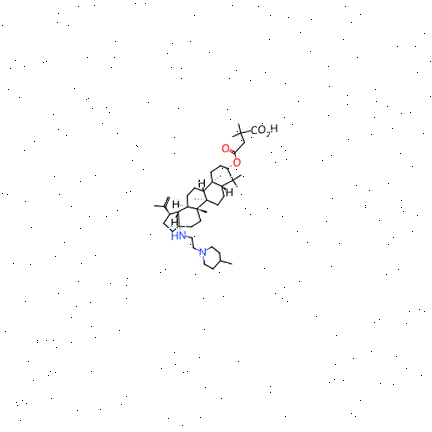 C=C(C)[C@@H]1CC[C@]2(NCCN3CCC(C)CC3)CC[C@]3(C)[C@H](CC[C@@H]4[C@@]5(C)CC[C@H](OC(=O)CC(C)(C)C(=O)O)C(C)(C)[C@@H]5CC[C@]43C)[C@@H]12